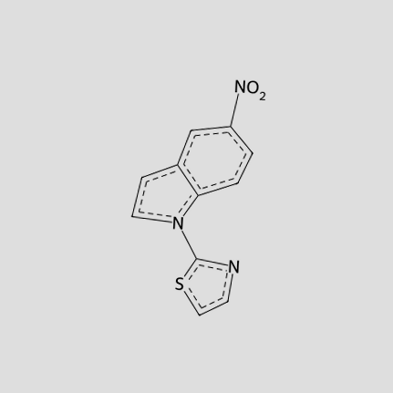 O=[N+]([O-])c1ccc2c(ccn2-c2nccs2)c1